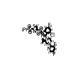 CC(C)S(=O)(=O)c1nc(S(=O)(=O)n2nc(N3CCN(c4ncc(F)cc4F)CC34CC4)c3c(Cl)cc(F)cc32)cs1